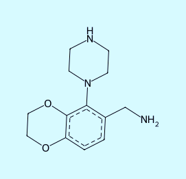 NCc1ccc2c(c1N1CCNCC1)OCCO2